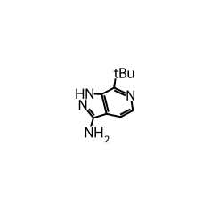 CC(C)(C)c1nccc2c(N)n[nH]c12